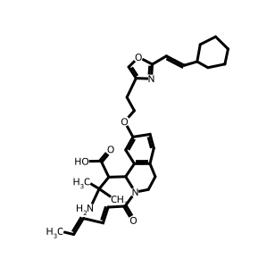 CC=CC=CC(=O)N1CCc2ccc(OCCc3coc(C=CC4CCCCC4)n3)cc2C1C(C(=O)O)C(C)(C)N